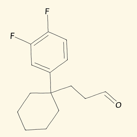 O=CCCC1(c2ccc(F)c(F)c2)CCCCC1